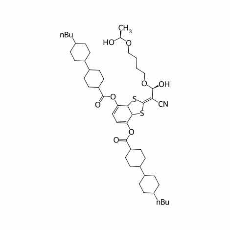 CCCCC1CCC(C2CCC(C(=O)OC3=CC=C(OC(=O)C4CCC(C5CCC(CCCC)CC5)CC4)C4SC(=C(C#N)[C@H](O)OCCCCO[C@H](C)O)SC34)CC2)CC1